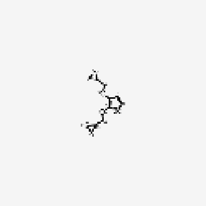 c1cc(OCC2CS2)c(OCC2CS2)[se]1